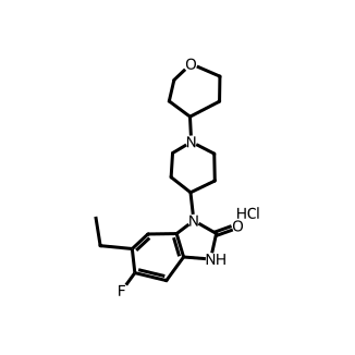 CCc1cc2c(cc1F)[nH]c(=O)n2C1CCN(C2CCOCC2)CC1.Cl